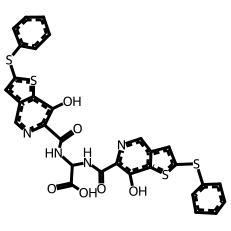 O=C(NC(NC(=O)c1ncc2cc(Sc3ccccc3)sc2c1O)C(=O)O)c1ncc2cc(Sc3ccccc3)sc2c1O